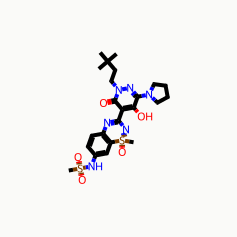 CC(C)(C)CCn1nc(N2CCCC2)c(O)c(C2=Nc3ccc(NS(C)(=O)=O)cc3S(C)(=O)=N2)c1=O